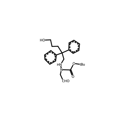 CC(C)(C)OC(=O)N(CC=O)NCC(CCCO)(c1ccccc1)c1ccccc1